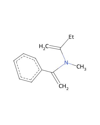 C=C(CC)N(C)C(=C)c1ccccc1